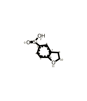 O=S(O)c1ccc2c(c1)CCO2